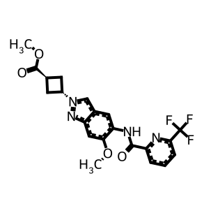 COc1cc2nn([C@H]3C[C@H](C(=O)OC)C3)cc2cc1NC(=O)c1cccc(C(F)(F)F)n1